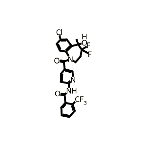 CC1(O)c2cc(Cl)ccc2N(C(=O)c2ccc(NC(=O)c3ccccc3C(F)(F)F)nc2)CCC1(F)F